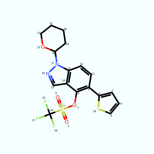 O=S(=O)(Oc1c(-c2cccs2)ccc2c1cnn2C1CCCCO1)C(F)(F)F